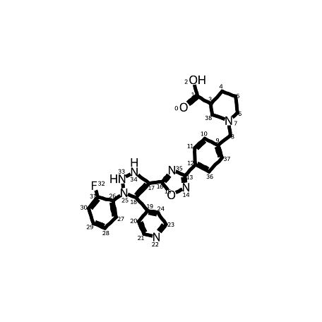 O=C(O)C1CCCN(Cc2ccc(-c3noc(C4=C(c5ccncc5)N(c5ccccc5F)NN4)n3)cc2)C1